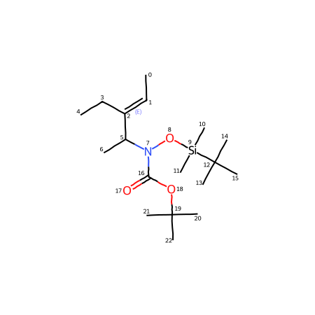 C/C=C(\CC)C(C)N(O[Si](C)(C)C(C)(C)C)C(=O)OC(C)(C)C